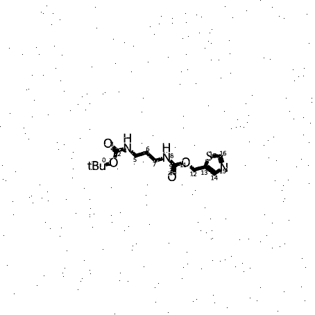 CC(C)(C)OC(=O)NCCCNC(=O)OCc1cncs1